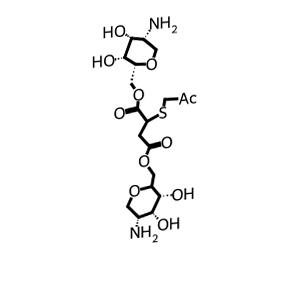 CC(=O)CSC(CC(=O)OCC1OC[C@@H](N)[C@@H](O)[C@H]1O)C(=O)OC[C@H]1OC[C@@H](N)[C@@H](O)[C@H]1O